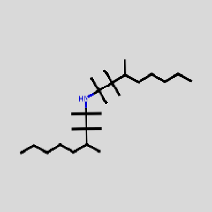 CCCCCC(C)C(C)(C)C(C)(C)NC(C)(C)C(C)(C)C(C)CCCCC